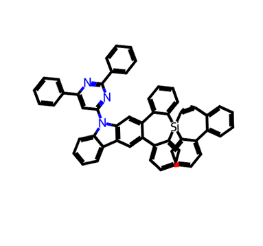 c1ccc(-c2cc(-n3c4ccccc4c4cc5c(cc43)-c3ccccc3[Si]3(c4ccccc4-c4ccccc4-c4ccccc43)c3ccccc3-5)nc(-c3ccccc3)n2)cc1